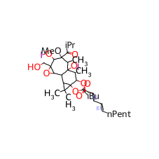 CCCCC/C=C/C=C/C(=O)OC1C(C)C2(OI)C(C3OC3(CO)C(OI)C(OC)(C(=O)C(C)C)C2C)C2C(C)(C)C12OC(=O)C(C)CC